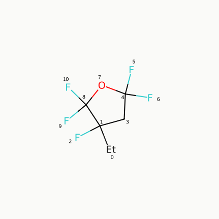 CCC1(F)CC(F)(F)OC1(F)F